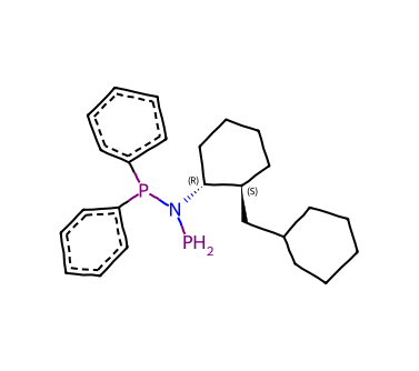 PN([C@@H]1CCCC[C@H]1CC1CCCCC1)P(c1ccccc1)c1ccccc1